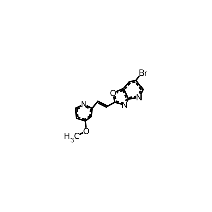 COc1ccnc(C=Cc2nc3ncc(Br)cc3o2)c1